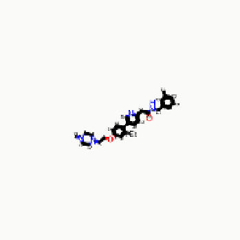 CCc1cc(OCCN2CCN(C)CC2)ccc1-c1ccc(CC(=O)NCc2cccc(C)c2)nc1